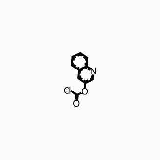 O=C(Cl)Oc1cnc2ccccc2c1